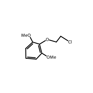 COc1cccc(OC)c1OCCCl